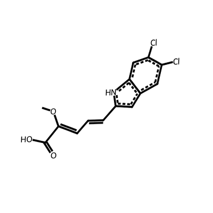 CO/C(=C\C=C\c1cc2cc(Cl)c(Cl)cc2[nH]1)C(=O)O